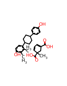 CC1(C(=O)O)C=CC=C(C(=O)O)C1.Cc1c(O)ccc(C2CCC(c3ccc(O)cc3)CC2)c1C